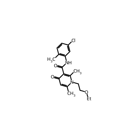 CCOCCn1c(C)cc(=O)c(C(=O)Nc2cc(Cl)ccc2C)c1C